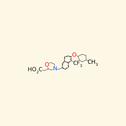 CC1CCC(Oc2ccc3cc(CN4CCOC(CC(=O)O)C4)ccc3c2C(F)(F)F)CC1